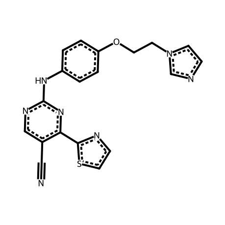 N#Cc1cnc(Nc2ccc(OCCn3ccnc3)cc2)nc1-c1nccs1